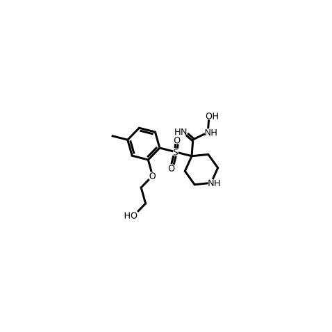 Cc1ccc(S(=O)(=O)C2(C(=N)NO)CCNCC2)c(OCCO)c1